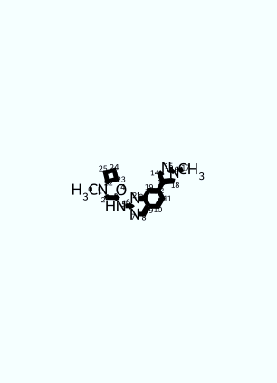 CN(CC(=O)Nc1ncc2ccc(-c3cnn(C)c3)cc2n1)C1CCC1